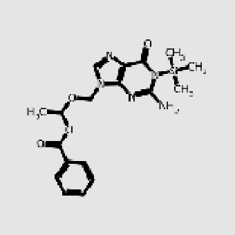 CC(OCn1cnc2c(=O)n([Si](C)(C)C)c(N)nc21)OC(=O)c1ccccc1